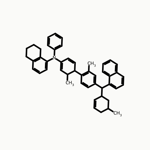 Cc1cc(C(c2cccc3ccccc23)C2C=CCC(C)C2)ccc1C1C=CC(N(c2ccccc2)c2cccc3c2CCCC3)=CC1C